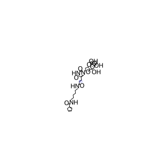 O=C(/C=C/c1cn(C2CC(OP(=O)(O)OO)C(CO)O2)c(=O)[nH]c1=O)NCCCCCCNC(=O)C1=CC=CC1